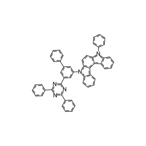 c1ccc(-c2cc(-c3nc(-c4ccccc4)nc(-c4ccccc4)n3)cc(-n3c4ccccc4c4c5c6ccccc6n(-c6ccccc6)c5ccc43)c2)cc1